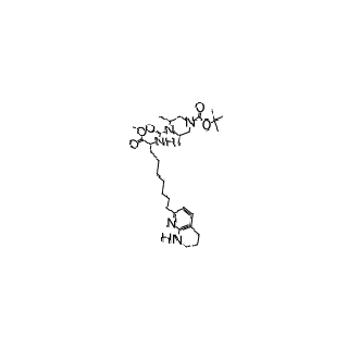 COC(=O)C(CCCCCCCc1ccc2c(n1)NCCC2)NC(=O)N1[C@H](C)CN(C(=O)OC(C)(C)C)C[C@@H]1C